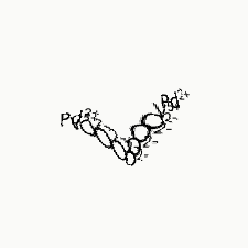 [O-2].[O-2].[O-2].[O-2].[O-2].[O-2].[O-2].[Pd+2].[Pd+2].[V+5].[V+5]